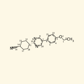 CCOc1ccc(-c2cnc([C@H]3CC[C@H](C#N)CC3)nc2)cc1